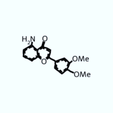 COc1ccc(-c2cc(=O)c3c(N)cccc3o2)cc1OC